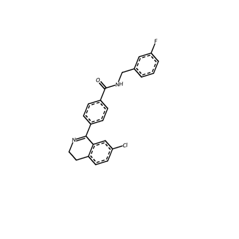 O=C(NCc1cccc(F)c1)c1ccc(C2=NCCc3ccc(Cl)cc32)cc1